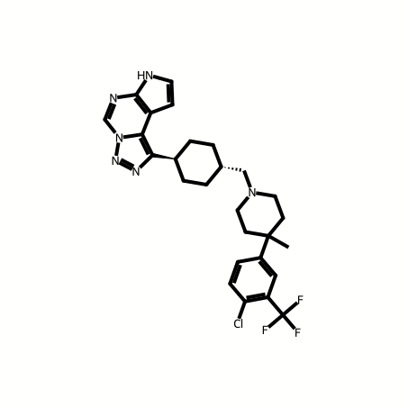 CC1(c2ccc(Cl)c(C(F)(F)F)c2)CCN(C[C@H]2CC[C@H](c3nnn4cnc5[nH]ccc5c34)CC2)CC1